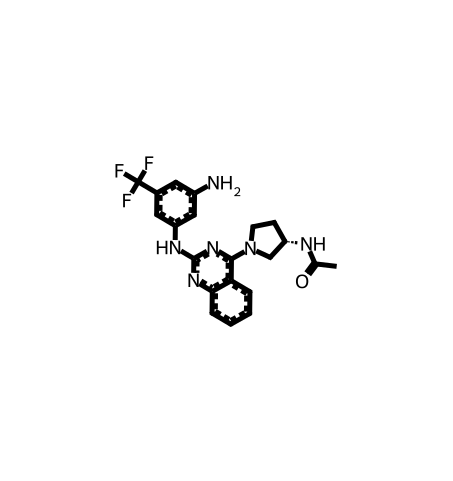 CC(=O)N[C@H]1CCN(c2nc(Nc3cc(N)cc(C(F)(F)F)c3)nc3ccccc23)C1